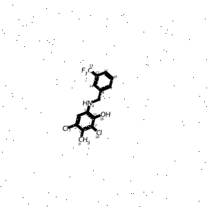 Cc1c(Cl)cc(NCc2cccc(C(F)(F)F)c2)c(O)c1Cl